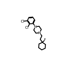 FC1(CCN2CCN(c3cccc(Cl)c3Cl)CC2)CCCCC1